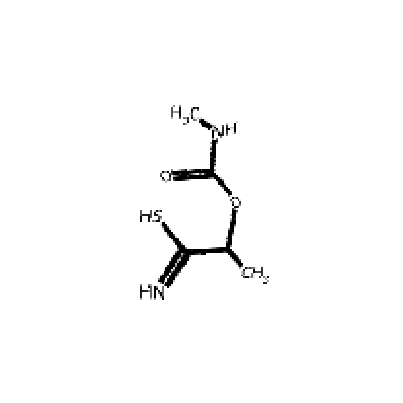 CNC(=O)OC(C)C(=N)S